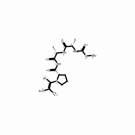 CC(=O)O/C(=C(\C(C)C)N1CCC[C@H]1C(=O)NC(=O)[C@H](C)NC(=O)[C@H](C)NC(=O)OC(C)(C)C)C(F)(F)F